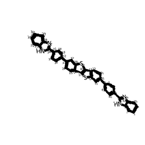 c1ccc2[nH]c(-c3ccc(-c4ccc5c(c4)sc4c6ccc(-c7ccc(-c8nc9ccccc9[nH]8)cc7)cc6sc54)cc3)nc2c1